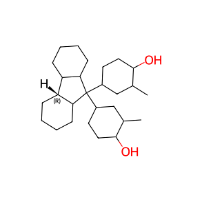 CC1CC(C2(C3CCC(O)C(C)C3)C3CCCCC3[C@H]3CCCCC32)CCC1O